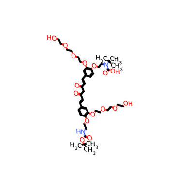 CC(C)(C)OC(=O)NCCOc1ccc(C=CC(=O)CC(=O)C=Cc2ccc(OCCN(C(=O)O)C(C)(C)C)c(OCCOCCOCCO)c2)cc1OCCOCCOCCO